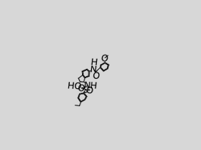 CCc1ccc(S(=O)(=O)N[C@@H]2c3cc(NC(=O)c4cccc(OC)c4)ccc3C[C@H]2O)cc1